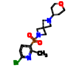 Cc1nc(Br)ccc1S(=O)(=O)N1CC2(CN(C3CCOCC3)C2)C1